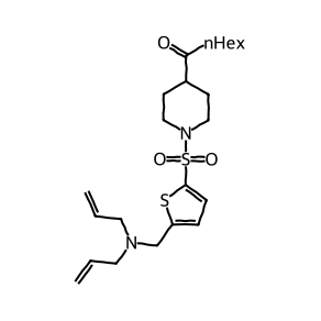 C=CCN(CC=C)Cc1ccc(S(=O)(=O)N2CCC(C(=O)CCCCCC)CC2)s1